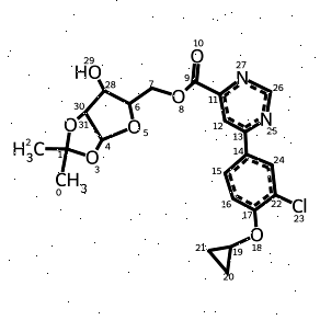 CC1(C)OC2OC(COC(=O)c3cc(-c4ccc(OC5CC5)c(Cl)c4)ncn3)C(O)C2O1